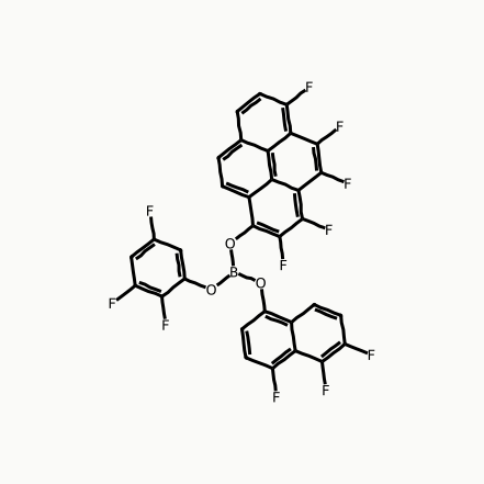 Fc1cc(F)c(F)c(OB(Oc2ccc(F)c3c(F)c(F)ccc23)Oc2c(F)c(F)c3c(F)c(F)c4c(F)ccc5ccc2c3c54)c1